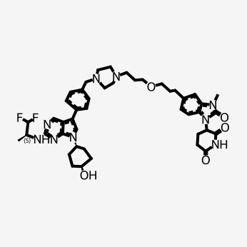 C[C@H](Nc1ncc2c(-c3ccc(CN4CCN(CCCOCCCc5ccc6c(c5)n(C)c(=O)n6C5CCC(=O)NC5=O)CC4)cc3)cn([C@H]3CC[C@H](O)CC3)c2n1)C(F)F